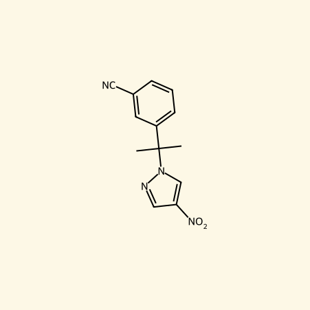 CC(C)(c1cccc(C#N)c1)n1cc([N+](=O)[O-])cn1